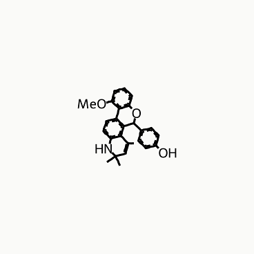 COc1cccc2c1-c1ccc3c(c1C(c1ccc(O)cc1)O2)C(C)=CC(C)(C)N3